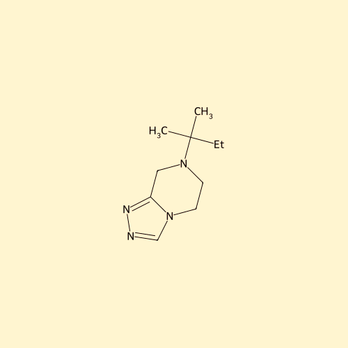 CCC(C)(C)N1CCn2cnnc2C1